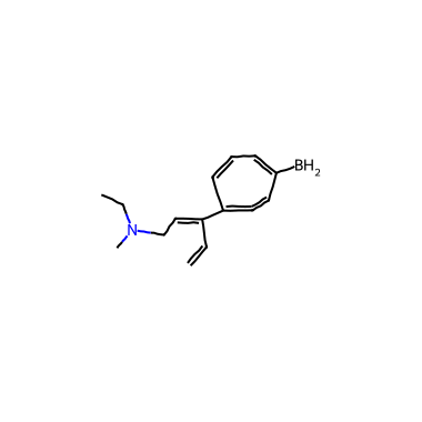 BC1=CC=CC(/C(C=C)=C/CN(C)CC)=C=C1